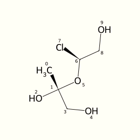 C[C@](O)(CO)O[C@@H](Cl)CO